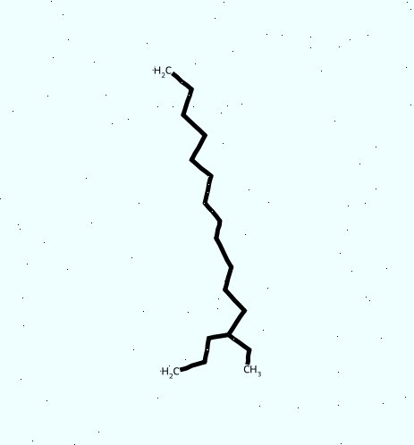 [CH2]CCCCCCCCCCCC(CC)CC[CH2]